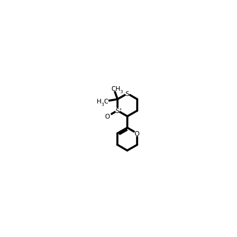 CC1(C)SCCC(C2=CCCCO2)[S+]1[O-]